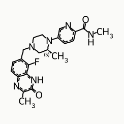 CNC(=O)c1ccc(N2CCN(Cc3ccc4nc(C)c(=O)[nH]c4c3F)C[C@@H]2C)cn1